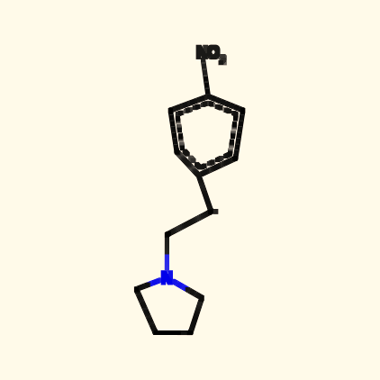 O=[N+]([O-])c1ccc([CH]CN2CCCC2)cc1